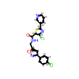 O=C(NCc1cc(-c2ccc(Cl)cc2)no1)c1sc(-c2cccnc2)nc1Cl